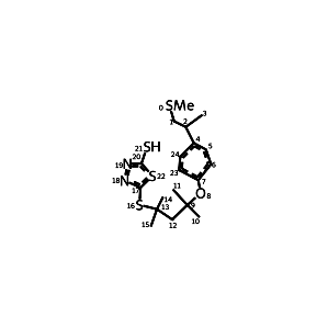 CSCC(C)c1ccc(OC(C)(C)CC(C)(C)Sc2nnc(S)s2)cc1